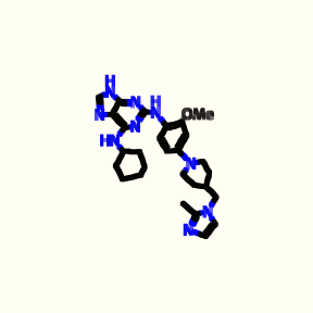 COc1cc(N2CCC(Cn3ccnc3C)CC2)ccc1Nc1nc(NC2CCCCC2)c2nc[nH]c2n1